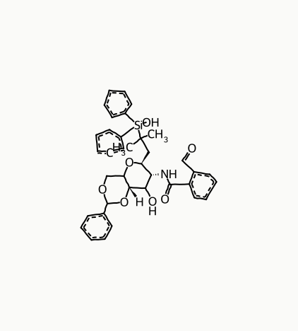 CC(C)(C[C@@H]1OC2COC(c3ccccc3)O[C@H]2C(O)[C@H]1NC(=O)c1ccccc1C=O)[Si](O)(c1ccccc1)c1ccccc1